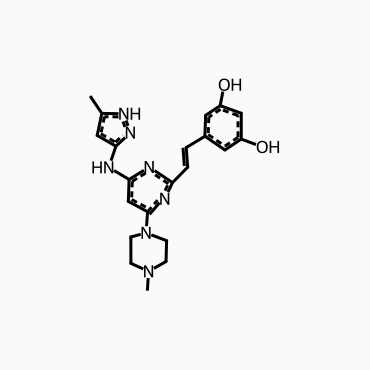 Cc1cc(Nc2cc(N3CCN(C)CC3)nc(/C=C/c3cc(O)cc(O)c3)n2)n[nH]1